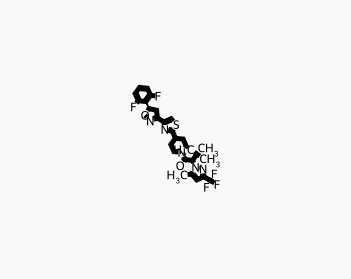 Cc1cc(C(F)(F)F)nn1C(C(=O)N1CCC(c2nc(C3=NO[C@@H](c4c(F)cccc4F)C3)cs2)CC1)C(C)(C)C